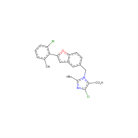 CCCCc1nc(Cl)c(C(=O)O)n1Cc1ccc2oc(-c3c(Br)cccc3C#N)cc2c1